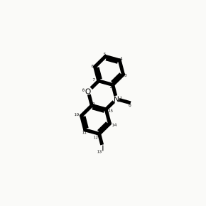 CN1c2ccccc2Oc2ccc(I)cc21